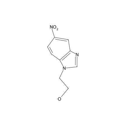 [O]CCn1cnc2cc([N+](=O)[O-])ccc21